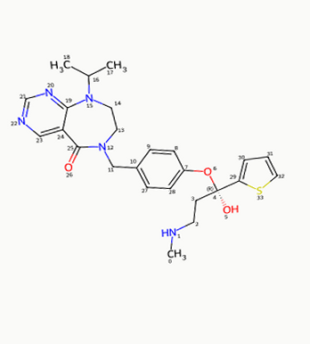 CNCC[C@@](O)(Oc1ccc(CN2CCN(C(C)C)c3ncncc3C2=O)cc1)c1cccs1